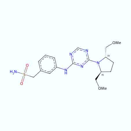 COC[C@@H]1CC[C@@H](COC)N1c1ncnc(Nc2cccc(CS(N)(=O)=O)c2)n1